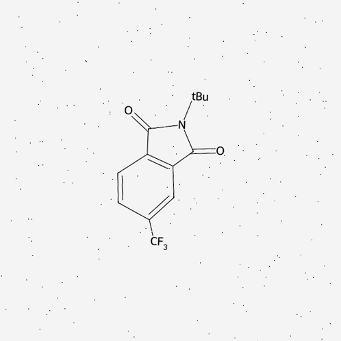 CC(C)(C)N1C(=O)c2ccc(C(F)(F)F)cc2C1=O